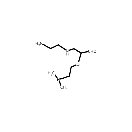 CN(C)CCOC(C=O)CNCCN